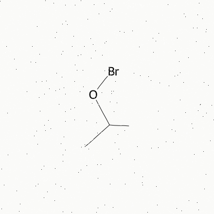 CC(C)OBr